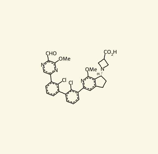 COc1nc(-c2cccc(-c3cccc(-c4cc5c(c(OC)n4)[C@H](N4CC(C(=O)O)C4)CC5)c3Cl)c2Cl)cnc1C=O